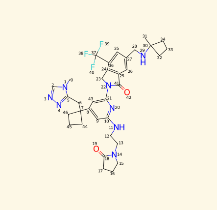 Cn1cnnc1CC1(c2cc(NCCN3CCCC3=O)nc(N3Cc4c(cc(CNC5(C)CCC5)cc4C(F)(F)F)C3=O)c2)CCC1